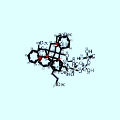 CCCCCCCCCCCCCOC(CCCCCCCCCCCCC)(CCCCCCCCCCCCC)C(CO)(C(CCCCCCCCCCCCC)(Oc1ccccc1)c1ccccc1)C(OP(=O)(O)OP(=O)(O)OP(=O)(O)OP(=O)(O)O)(c1ccccc1)c1ccccc1